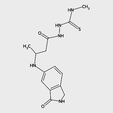 CNC(=S)NNC(=O)CC(C)Nc1ccc2c(c1)C(=O)NC2